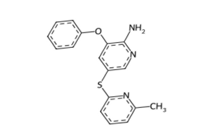 Cc1cccc(Sc2cnc(N)c(Oc3ccccc3)c2)n1